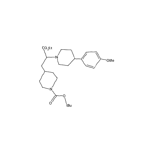 CCOC(=O)C(CC1CCN(C(=O)OC(C)(C)C)CC1)N1CCC(c2ccc(OC)cc2)CC1